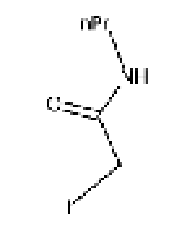 [CH2]CCNC(=O)CI